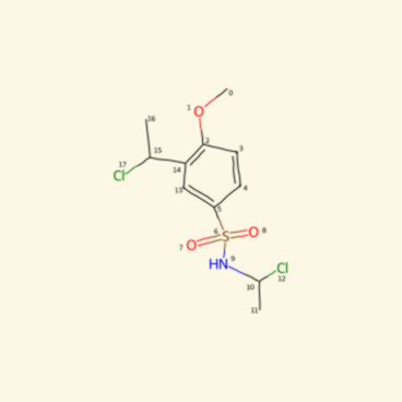 COc1ccc(S(=O)(=O)NC(C)Cl)cc1C(C)Cl